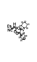 CC[C@@H](C#N)NC(=O)O[C@@H](CC1CCCCC1)C(=O)N1CCOCC1